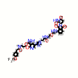 CN(CCCOc1ncc(-c2cn(CCCC(=O)NCCOCCNc3cccc4c3C(=O)N(C3CCC(=O)NC3=O)C4=O)cn2)cc1C(N)=O)C(=O)Cc1ccc(OC(F)(F)F)cc1